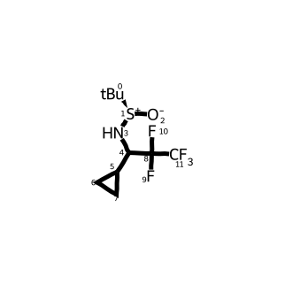 CC(C)(C)[S@@+]([O-])NC(C1CC1)C(F)(F)C(F)(F)F